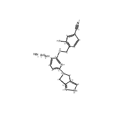 Br.Br.Br.N#Cc1ccc(COc2cccc(N3Cc4c[nH]nc4C3)n2)c(F)c1